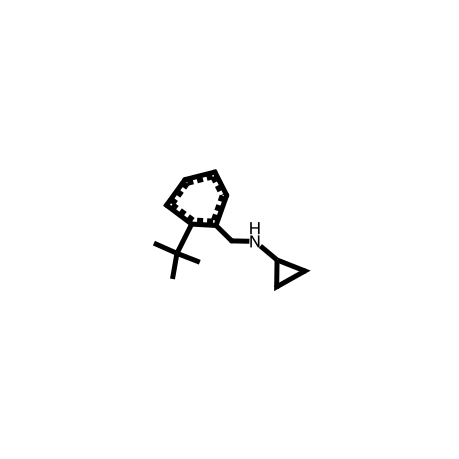 CC(C)(C)c1ccccc1CNC1CC1